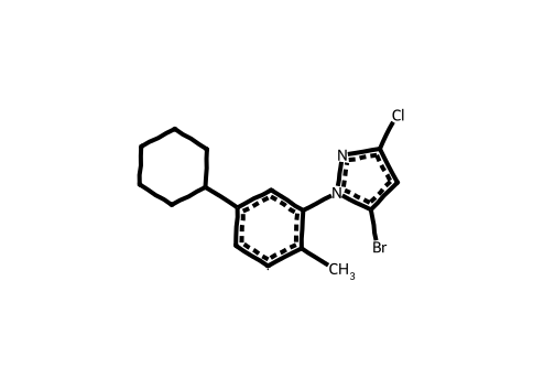 Cc1[c]cc(C2CCCCC2)cc1-n1nc(Cl)cc1Br